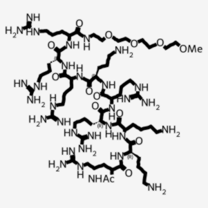 COCCOCCOCCOCCNC(=O)C(CCCNC(=N)N)NC(=O)[C@@H](CCCNC(=N)N)NC(=O)C(CCCNC(=N)N)NC(=O)[C@@H](CCCN)NC(=O)C(CCCNC(=N)N)NC(=O)[C@@H](CCCNC(=N)N)NC(=O)C(CCCCN)NC(=O)[C@@H](CCCCN)NC(=O)C(CCCNC(=N)N)NC(C)=O